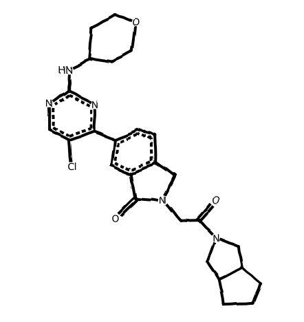 O=C(CN1Cc2ccc(-c3nc(NC4CCOCC4)ncc3Cl)cc2C1=O)N1CC2CCCC2C1